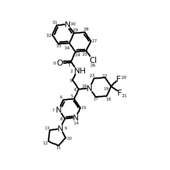 O=C(NCC(c1cnc(N2CCCC2)nc1)N1CCC(F)(F)CC1)c1c(Cl)ccc2ncccc12